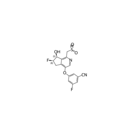 N#Cc1cc(F)cc(Oc2cnc(C[SH](=O)=O)c3c2C[C@@H](F)[C@H]3O)c1